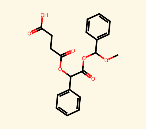 COC(OC(=O)C(OC(=O)CCC(=O)O)c1ccccc1)c1ccccc1